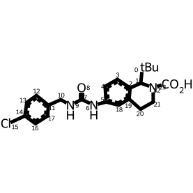 CC(C)(C)C1c2ccc(NC(=O)NCc3ccc(Cl)cc3)cc2CCN1C(=O)O